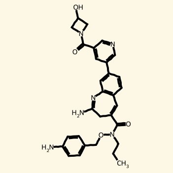 CCCN(OCc1ccc(N)cc1)C(=O)C1=Cc2ccc(-c3cncc(C(=O)N4CC(O)C4)c3)cc2N=C(N)C1